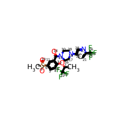 CC(Oc1ccc(S(C)(=O)=O)cc1C(=O)N1CCN(c2ccc(C(F)(F)F)nc2)CC1)C(F)(F)F